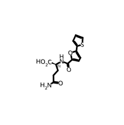 NC(=O)CC[C@H](NC(=O)c1ccc(-c2cccs2)o1)C(=O)O